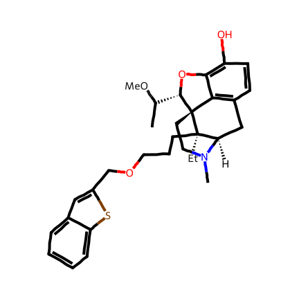 CC[C@@]1(CCCOCc2cc3ccccc3s2)[C@H]2Cc3ccc(O)c4c3[C@@]1(CCN2C)[C@H](C(C)OC)O4